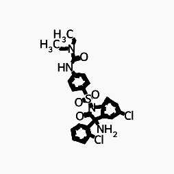 CCN(CC)C(=O)Nc1ccc(S(=O)(=O)N2C(=O)C(N)(c3ccccc3Cl)c3cc(Cl)ccc32)cc1